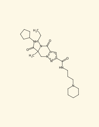 CCCN1C(=O)c2cc(C(=O)NCCCN3CCCCC3)nn2CC1(C)C(=O)NC1CCCC1